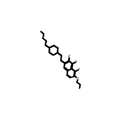 CCCCCC1CCC(CCc2cc3ccc(OCCC)c(F)c3c(F)c2F)CC1